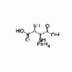 O=C(O)C(S)C(S)C(=O)O.[PbH2]